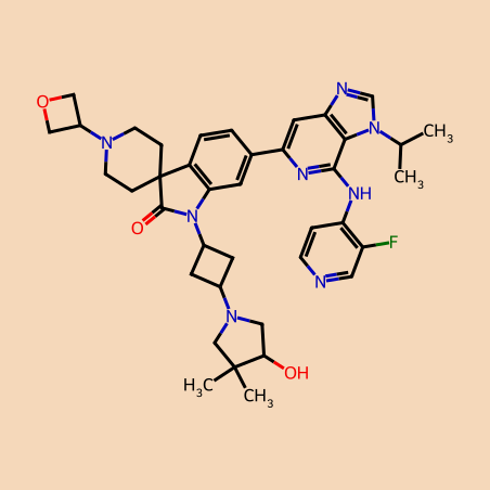 CC(C)n1cnc2cc(-c3ccc4c(c3)N(C3CC(N5CC(O)C(C)(C)C5)C3)C(=O)C43CCN(C4COC4)CC3)nc(Nc3ccncc3F)c21